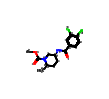 CC(C)(C)OC(=O)N1C[C@H](NC(=O)c2ccc(Cl)c(Cl)c2)CC[C@H]1C(=O)O